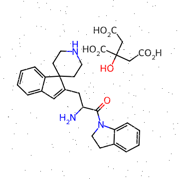 NC(CC1=Cc2ccccc2C12CCNCC2)C(=O)N1CCc2ccccc21.O=C(O)CC(O)(CC(=O)O)C(=O)O